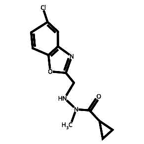 CN(NCc1nc2cc(Cl)ccc2o1)C(=O)C1CC1